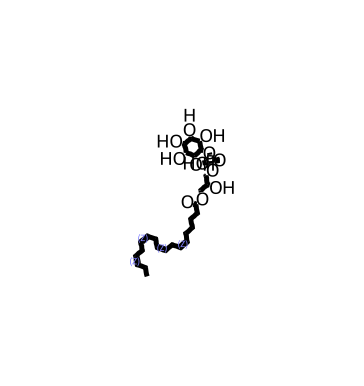 CC/C=C\C/C=C\C/C=C\C/C=C\CCCCC(=O)OCC(O)COP(=O)(O)OC1C(O)C(O)C(O)C(O)C1O